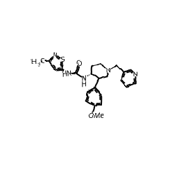 COc1ccc(C2CN(Cc3cccnc3)CC[C@H]2NC(=O)Nc2cc(C)ns2)cc1